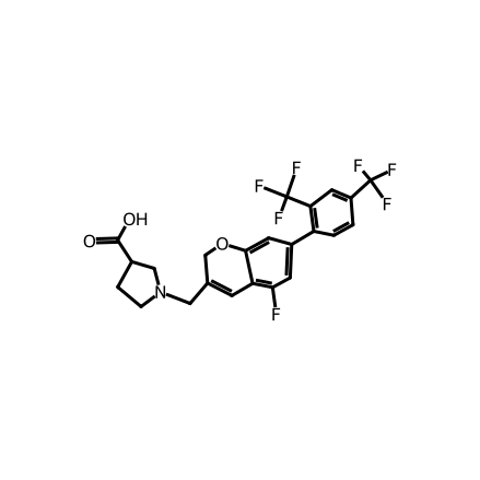 O=C(O)C1CCN(CC2=Cc3c(F)cc(-c4ccc(C(F)(F)F)cc4C(F)(F)F)cc3OC2)C1